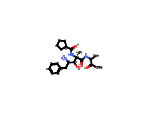 COC(=O)C(NC(=O)[C@@](NC(=O)C1CCCC1)(C(C)C)C(O)C(N)Cc1ccccc1)C(C)C